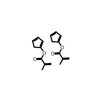 C=C(C)C(=O)OC1=CC=CC1.C=C(C)C(=O)OC1=CC=CC1